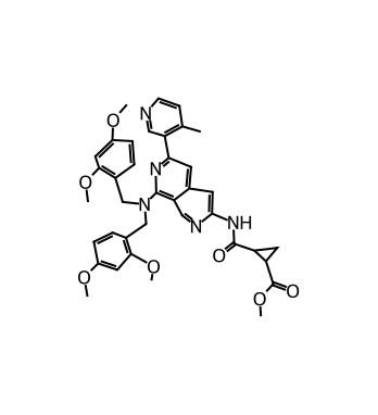 COC(=O)C1CC1C(=O)Nc1cc2cc(-c3cnccc3C)nc(N(Cc3ccc(OC)cc3OC)Cc3ccc(OC)cc3OC)c2cn1